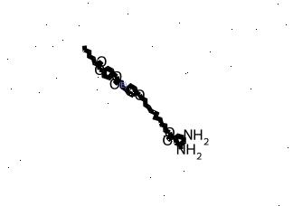 CCCCCCC(=O)Oc1ccc(OC(=O)/C=C/c2ccc(OCCCCCCCCCCCOC(=O)c3cc(N)cc(N)c3)cc2)cc1